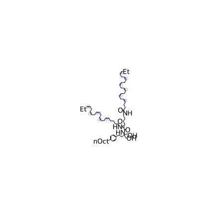 CC/C=C\C/C=C\C/C=C\C/C=C\C/C=C\C/C=C\CCC(=O)NCCCC[C@H](NC(=O)CCC/C=C\C/C=C\C/C=C\C/C=C\C/C=C\CC)C(=O)NC(CO)(CO)CCc1ccc(CCCCCCCC)cc1